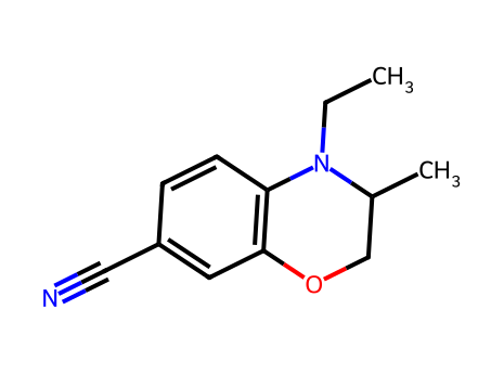 CCN1c2ccc(C#N)cc2OCC1C